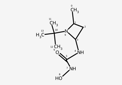 CC1CC(NC(=O)NO)N1C(C)(C)C